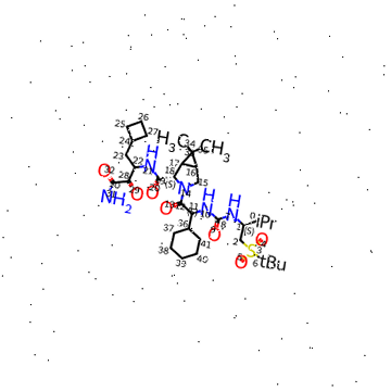 CC(C)[C@@H](CS(=O)(=O)C(C)(C)C)NC(=O)N[C@H](C(=O)N1CC2C([C@H]1C(=O)NC(CC1CCC1)C(=O)C(N)=O)C2(C)C)C1CCCCC1